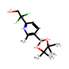 Cc1nc(C(F)(F)CO)ccc1B1OC(C)(C)C(C)(C)O1